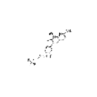 CC(C)n1c(=O)c(-c2ccc(NSCCC(C)(F)F)c(F)c2)cc2cnc(N)nc21